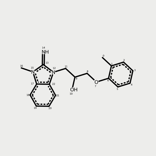 Cc1ccccc1OCC(O)Cn1c(=N)n(C)c2ccccc21